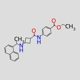 CCOC(=O)c1ccc(NC(=O)C2CC(NC(C)c3cccc4ccccc34)C2)cc1